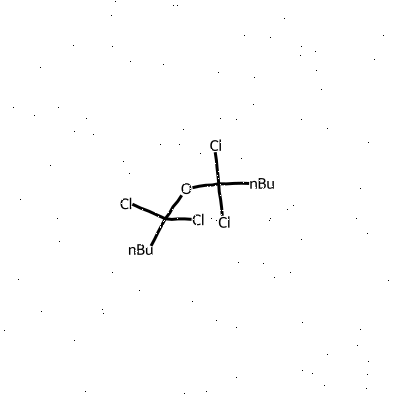 CCCCC(Cl)(Cl)OC(Cl)(Cl)CCCC